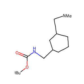 CNCC1CCCC(CNC(=O)OC(C)(C)C)C1